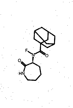 O=C1NCCCC[C@@H]1N(F)C(=O)C12CC3CC(CC(C3)C1)C2